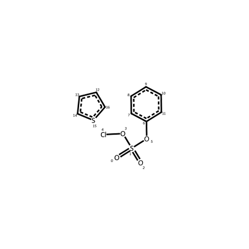 O=S(=O)(OCl)Oc1ccccc1.c1ccsc1